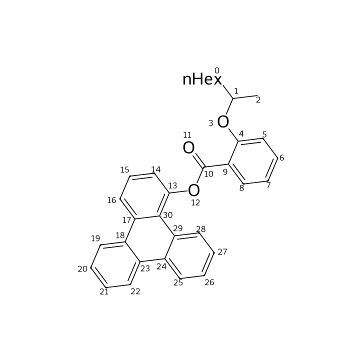 CCCCCCC(C)Oc1ccccc1C(=O)Oc1cccc2c3ccccc3c3ccccc3c12